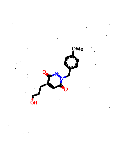 COc1ccc(CN2[N]C(=O)C(CCCO)=CC2=O)cc1